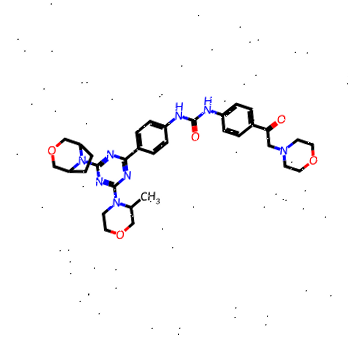 CC1COCCN1c1nc(-c2ccc(NC(=O)Nc3ccc(C(=O)CN4CCOCC4)cc3)cc2)nc(N2C3CCC2COC3)n1